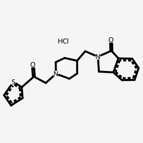 Cl.O=C(CN1CCC(CN2Cc3ccccc3C2=O)CC1)c1cccs1